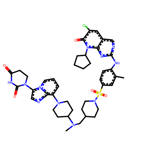 Cc1cc(S(=O)(=O)N2CCC(CN(C)C3CCN(c4cccn5c(N6CCC(=O)NC6=O)cnc45)CC3)CC2)ccc1Nc1ncc2cc(Cl)c(=O)n(C3CCCC3)c2n1